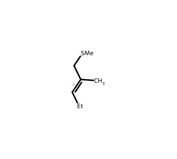 CC/C=C(\C)CSC